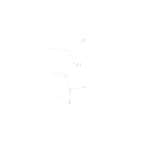 CC(C)NC(=O)C1(C(=O)O)CC1